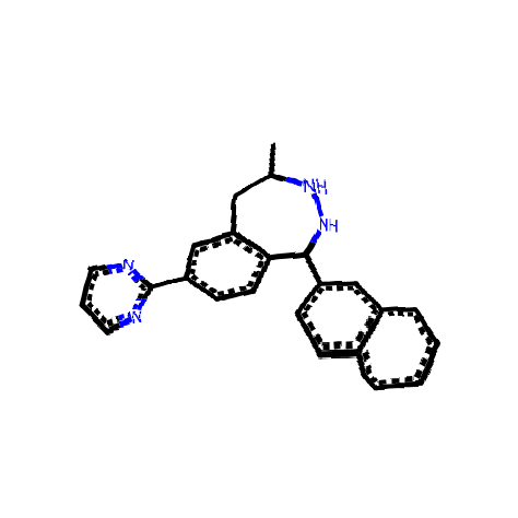 CC1Cc2cc(-c3ncccn3)ccc2C(c2ccc3ccccc3c2)NN1